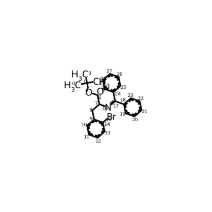 CC(C)(C)OC(=O)C(Cc1ccccc1Br)N=C(c1ccccc1)c1ccccc1